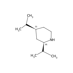 CC(C)[C@H]1CCN[C@@H](C(C)C)C1